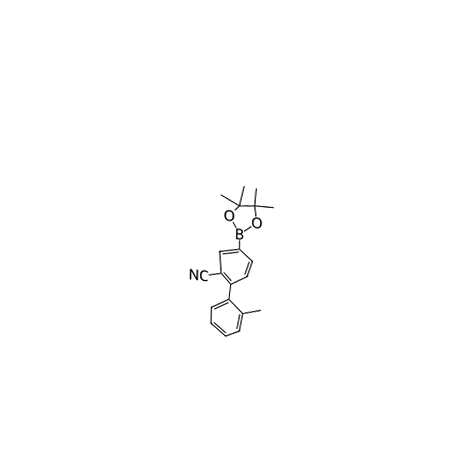 Cc1ccccc1-c1ccc(B2OC(C)(C)C(C)(C)O2)cc1C#N